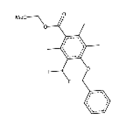 COCOC(=O)c1c(C)c(C)c(OCc2ccccc2)c(C(F)F)c1C